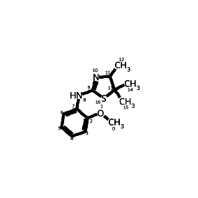 COc1ccccc1NC1=NC(C)C(C)(C)S1